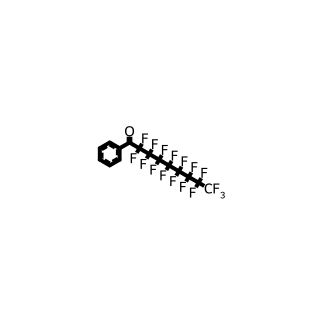 O=C(c1ccccc1)C(F)(F)C(F)(F)C(F)(F)C(F)(F)C(F)(F)C(F)(F)C(F)(F)C(F)(F)F